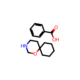 C1CCC2(CC1)CCNCO2.O=C(O)c1ccccc1